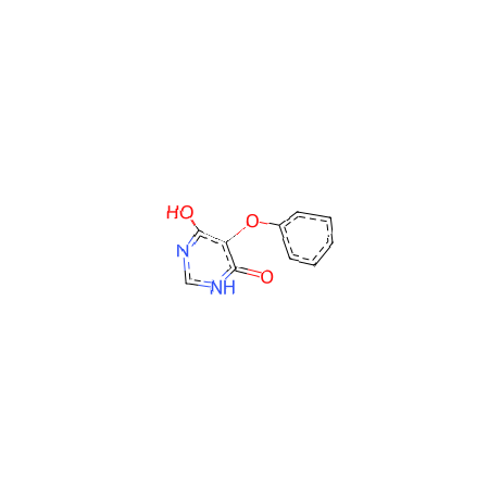 O=c1[nH]cnc(O)c1Oc1ccccc1